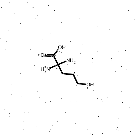 NC(N)(CCCO)C(=O)O